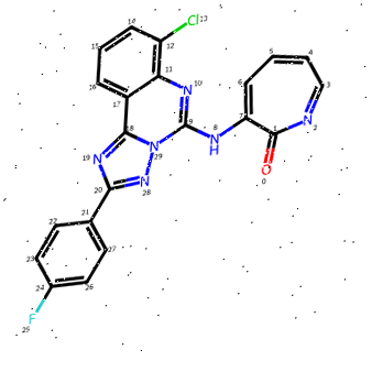 O=c1nccccc1Nc1nc2c(Cl)cccc2c2nc(-c3ccc(F)cc3)nn12